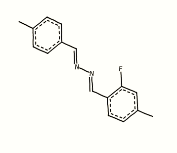 Cc1ccc(/C=N/N=C/c2ccc(C)cc2F)cc1